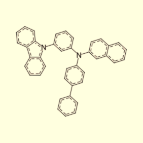 c1ccc(-c2ccc(N(c3cccc(-n4c5ccccc5c5ccccc54)c3)c3ccc4ccccc4c3)cc2)cc1